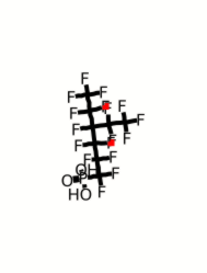 O=P(O)(O)C(F)(F)C(F)(F)C(F)(F)C(F)(C(F)(F)C(F)(F)F)C(F)(F)C(F)(F)F